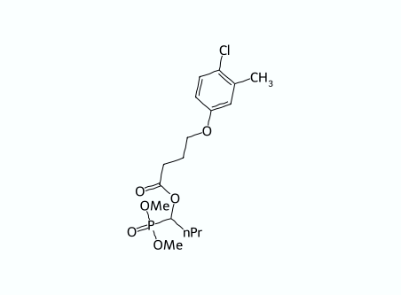 CCCC(OC(=O)CCCOc1ccc(Cl)c(C)c1)P(=O)(OC)OC